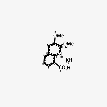 COc1cc2cccc(C(=O)O)c2nc1OC.[KH]